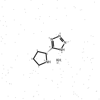 C1CN[C@@H](c2nnn[nH]2)C1.[KH]